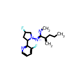 C=N/C(=N\N1CC(F)CC1c1ncccc1F)C(=C)CCC